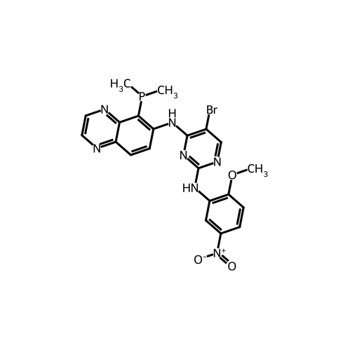 COc1ccc([N+](=O)[O-])cc1Nc1ncc(Br)c(Nc2ccc3nccnc3c2P(C)C)n1